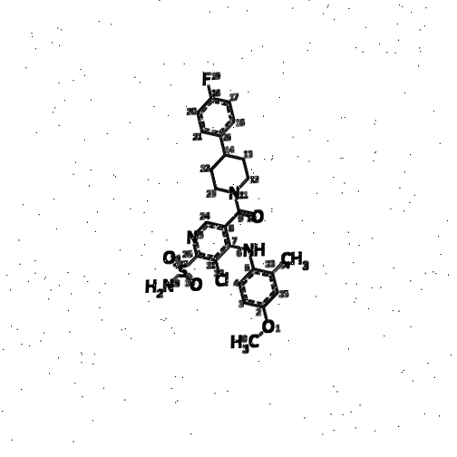 COc1ccc(Nc2c(C(=O)N3CCC(c4ccc(F)cc4)CC3)cnc(S(N)(=O)=O)c2Cl)c(C)c1